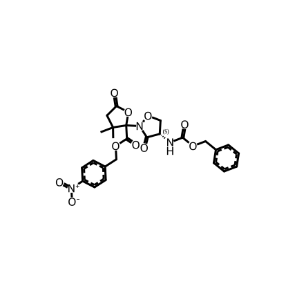 CC1(C)CC(=O)OC1(C(=O)OCc1ccc([N+](=O)[O-])cc1)N1OC[C@H](NC(=O)OCc2ccccc2)C1=O